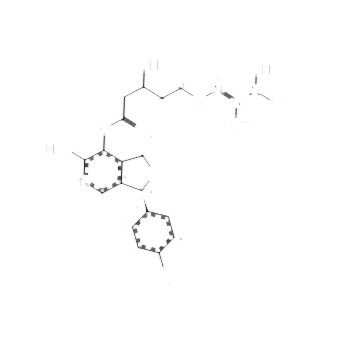 Cc1ncc2c(c1OC(=O)CC(C)CCO/N=[N+](\O)N(C)C(C)(C)C)CO[C@H]2c1ccc(Cl)cc1